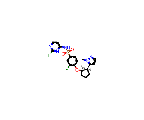 Cn1nccc1[C@H]1CCC[C@@]1(C)Oc1ccc(S(=O)(=O)Nc2ccnc(F)n2)cc1F